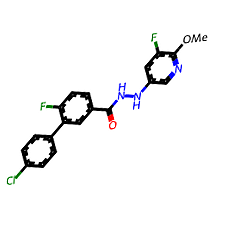 COc1ncc(NNC(=O)c2ccc(F)c(-c3ccc(Cl)cc3)c2)cc1F